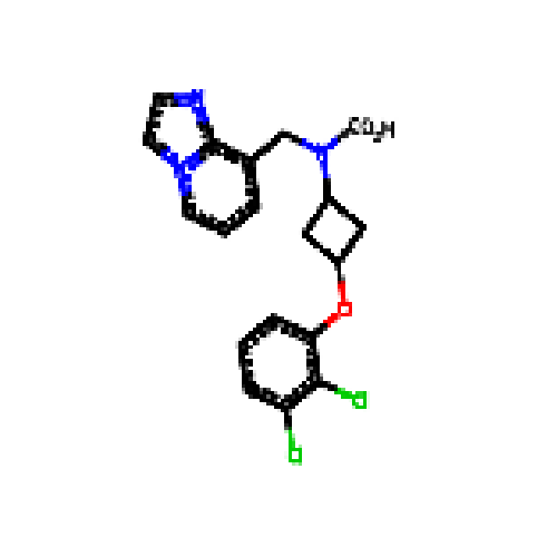 O=C(O)N(Cc1cccn2ccnc12)C1CC(Oc2cccc(Cl)c2Cl)C1